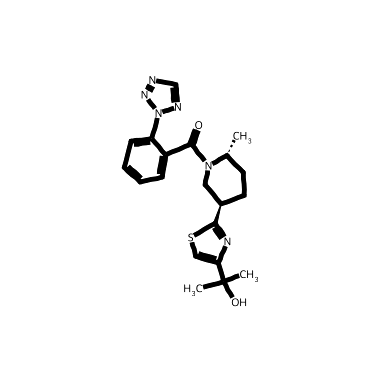 C[C@@H]1CC[C@@H](c2nc(C(C)(C)O)cs2)CN1C(=O)c1ccccc1-n1ncnn1